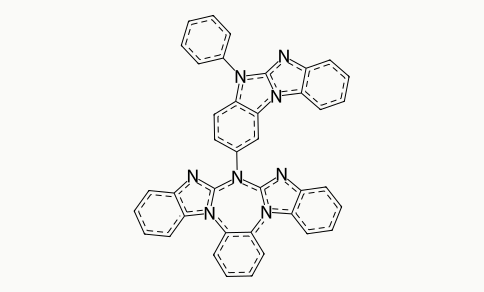 c1ccc(-n2c3ccc(-n4c5nc6ccccc6n5c5ccccc5n5c6ccccc6nc45)cc3n3c4ccccc4nc23)cc1